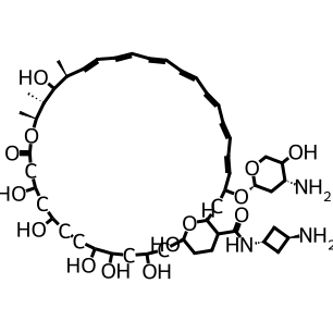 C[C@@H]1OC(=O)CC(O)CC(O)CCC(O)C(O)CC(O)CC2(O)CCC(C(=O)N[C@H]3C[C@H](N)C3)[C@H](CC(O[C@H]3C[C@@H](N)C(O)CO3)/C=C/C=C/C=C/C=C/C=C/C=C/C=C/[C@H](C)C(O)[C@H]1C)O2